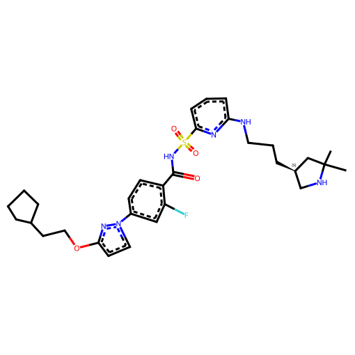 CC1(C)C[C@H](CCCNc2cccc(S(=O)(=O)NC(=O)c3ccc(-n4ccc(OCCC5CCCC5)n4)cc3F)n2)CN1